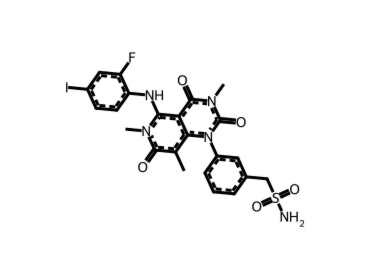 Cc1c(=O)n(C)c(Nc2ccc(I)cc2F)c2c(=O)n(C)c(=O)n(-c3cccc(CS(N)(=O)=O)c3)c12